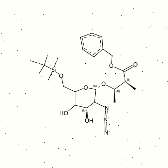 C[C@H](C(=O)OCc1ccccc1)[C@@H](C)O[C@H]1OC(CO[Si](C)(C)C(C)(C)C)C(O)[C@H](O)C1N=[N+]=[N-]